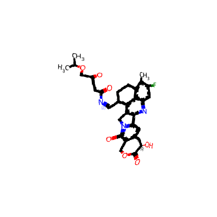 Cc1c(F)cc2nc3c(c4c2c1CCC4/C=N\C(=O)CC(=O)COC(C)C)Cn1c-3cc2c(c1=O)COC(=O)[C@H]2O